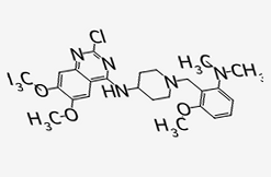 COc1cc2nc(Cl)nc(NC3CCN(Cc4c(OC)cccc4N(C)C)CC3)c2cc1OC